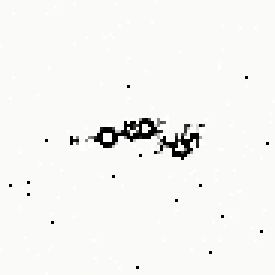 CC1CCC(c2cc3cc(NC(=O)c4cccc(C(F)(F)F)n4)ccn3n2)CC1